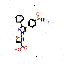 N[S+]([O-])c1ccc(-c2cn(-c3nc(C(=O)O)cs3)nc2-c2ccccc2)cc1